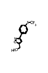 OCc1cc(-c2ccc(SC(F)(F)F)cc2)no1